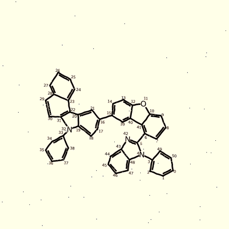 c1ccc(-n2c(-c3cccc4oc5ccc(-c6ccc7c(c6)c6c8ccccc8ccc6n7-c6ccccc6)cc5c34)nc3ccccc32)cc1